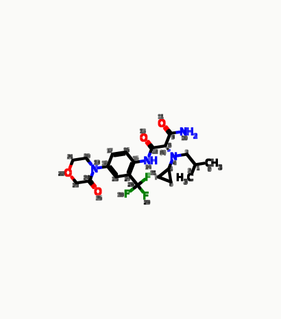 CC(C)CN(C1CC1)[C@@H](C(N)=O)C(=O)Nc1ccc(N2CCOCC2=O)cc1C(F)(F)F